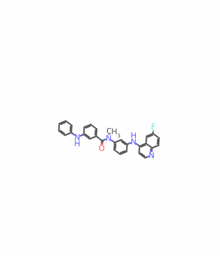 CN(C(=O)c1cccc(Nc2ccccc2)c1)c1cccc(Nc2ccnc3ccc(F)cc23)c1